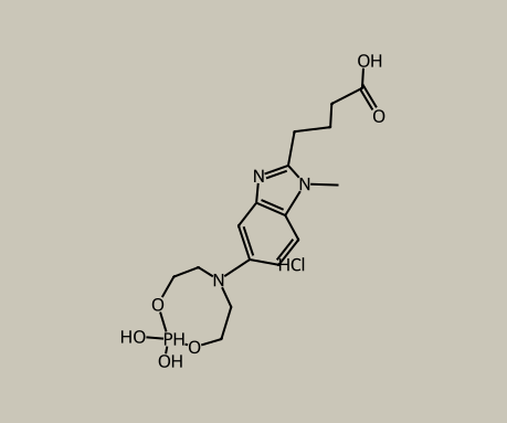 Cl.Cn1c(CCCC(=O)O)nc2cc(N3CCO[PH](O)(O)OCC3)ccc21